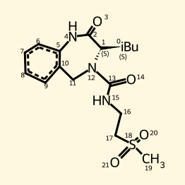 CC[C@H](C)[C@H]1C(=O)Nc2ccccc2CN1C(=O)NCCS(C)(=O)=O